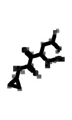 CC(C)(C)NC(CC(F)F)C(=O)C(=O)NC1CC1